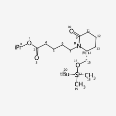 CC(C)OC(=O)CCCCN1C(=O)CCC[C@@H]1CO[Si](C)(C)C(C)(C)C